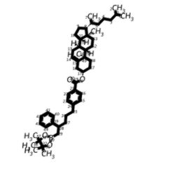 CC(C)CCCC(C)[C@H]1CC[C@H]2[C@@H]3CC=C4C[C@@H](OC(=O)c5ccc(CCCC(CB6OC(C)(C)C(C)(C)O6)c6ccccc6)cc5)CC[C@]4(C)[C@H]3CC[C@]12C